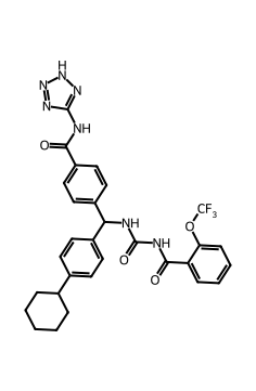 O=C(NC(=O)c1ccccc1OC(F)(F)F)NC(c1ccc(C(=O)Nc2nn[nH]n2)cc1)c1ccc(C2CCCCC2)cc1